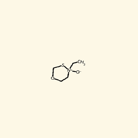 CC[N+]1([O-])CCOCS1